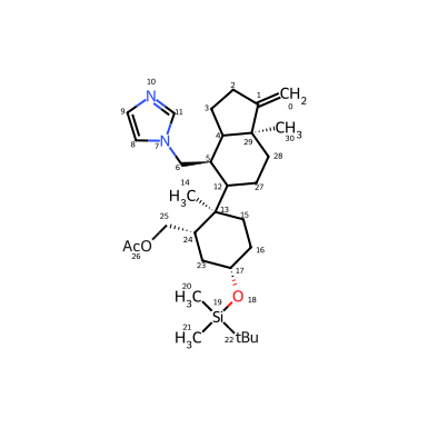 C=C1CCC2[C@H](Cn3ccnc3)C([C@@]3(C)CC[C@H](O[Si](C)(C)C(C)(C)C)C[C@@H]3COC(C)=O)CC[C@]12C